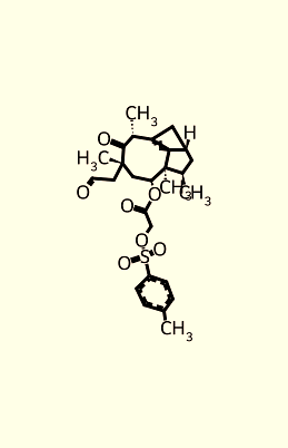 Cc1ccc(S(=O)(=O)OCC(=O)O[C@@H]2C[C@](C)(CC=O)C(=O)[C@H](C)[C@]34CCCC35[C@@H](C[C@@H](C)[C@@]25C)C4)cc1